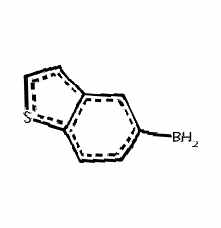 Bc1ccc2sccc2c1